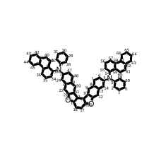 c1ccc(N(c2ccc3cc4c(cc3c2)oc2ccc3oc5cc6cc(N(c7ccccc7)c7cccc8c7ccc7ccccc78)ccc6cc5c3c24)c2cccc3c2ccc2ccccc23)cc1